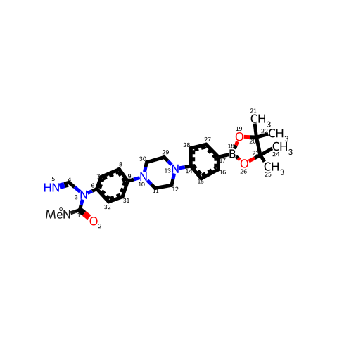 CNC(=O)N(C=N)c1ccc(N2CCN(c3ccc(B4OC(C)(C)C(C)(C)O4)cc3)CC2)cc1